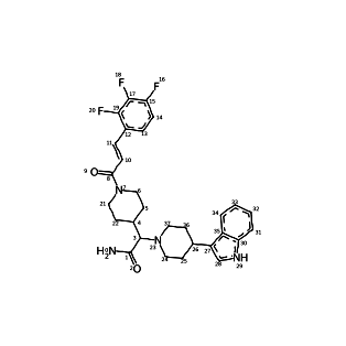 NC(=O)C(C1CCN(C(=O)C=Cc2ccc(F)c(F)c2F)CC1)N1CCC(c2c[nH]c3ccccc23)CC1